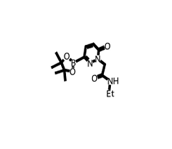 CCNC(=O)Cn1nc(B2OC(C)(C)C(C)(C)O2)ccc1=O